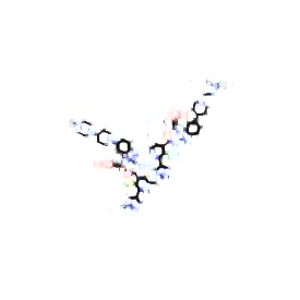 Cc1cc(C(=O)Nc2nc3ccc(C4CCN(CCN(C)C)CC4)cc3n2CC(C)(C)O)c(F)c(-c2cnn(Cc3cc(C(=O)Nc4nc5ccc(N6CCC(N7CCN(C)CC7)CC6)cc5n4CC(C)(C)O)c(F)c(-c4cnn(C)c4)n3)c2)n1